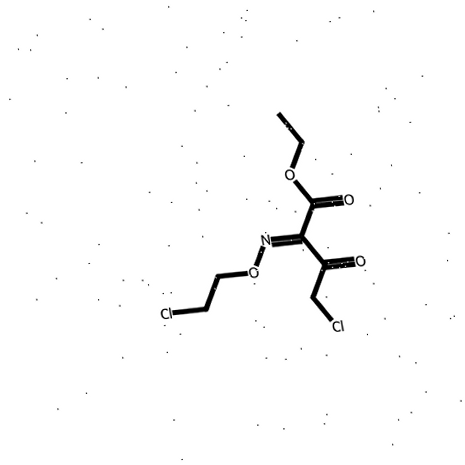 CCOC(=O)C(=NOCCCl)C(=O)CCl